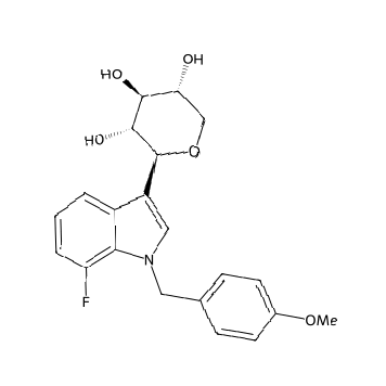 COc1ccc(Cn2cc([C@@H]3OC[C@@H](O)[C@H](O)[C@H]3O)c3cccc(F)c32)cc1